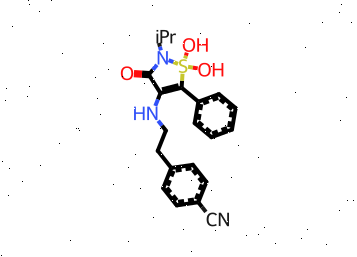 CC(C)N1C(=O)C(NCCc2ccc(C#N)cc2)=C(c2ccccc2)S1(O)O